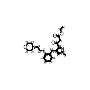 CCOC(=O)CC(=O)c1nn(C)cc1Cc1ccccc1SCCN1CCOCC1